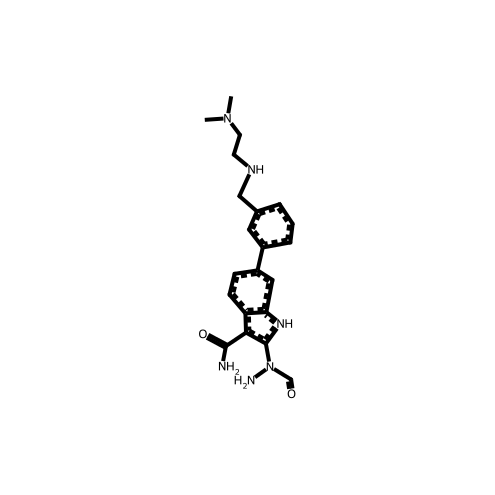 CN(C)CCNCc1cccc(-c2ccc3c(C(N)=O)c(N(N)C=O)[nH]c3c2)c1